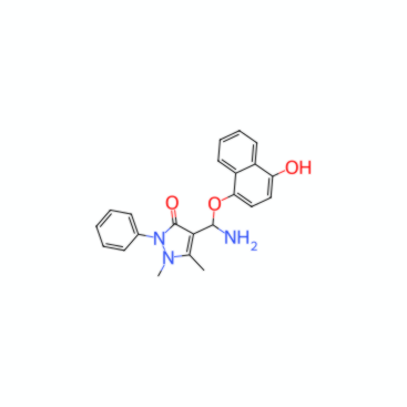 Cc1c(C(N)Oc2ccc(O)c3ccccc23)c(=O)n(-c2ccccc2)n1C